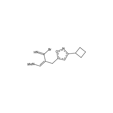 CN/C=C(/Cc1cc(C2CCC2)no1)C(=N)Br